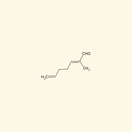 C=CCC/C=C(\C)C=O